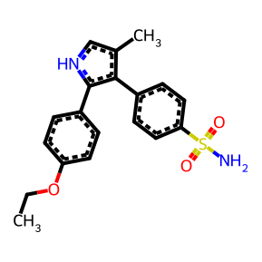 CCOc1ccc(-c2[nH]cc(C)c2-c2ccc(S(N)(=O)=O)cc2)cc1